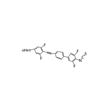 CCCCCCc1cc(F)c(C#Cc2ccc(-c3cc(F)c(N=C=S)c(F)c3)cc2)c(F)c1